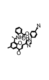 Cc1cc([C@@H](C)Nc2ccccc2C(=O)O)c2oc(-c3cn(-c4ccc(C#N)cc4)cn3)cc(=O)c2c1